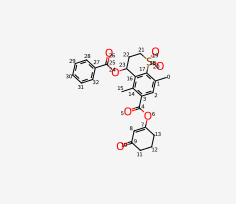 Cc1cc(C(=O)OC2=CC(=O)CCC2)c(C)c2c1S(=O)(=O)CCC2OC(=O)c1ccccc1